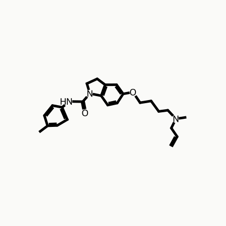 C=CCN(C)CCCCOc1ccc2c(c1)CCN2C(=O)Nc1ccc(C)cc1